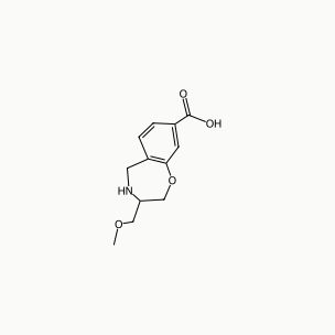 COCC1COc2cc(C(=O)O)ccc2CN1